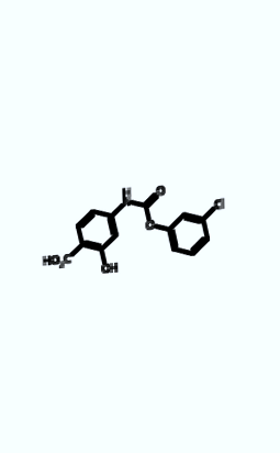 O=C(Nc1ccc(C(=O)O)c(O)c1)Oc1cccc(Cl)c1